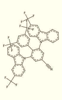 N#Cc1cc(-n2c3ccccc3c3cc(C(F)(F)F)ccc32)c(-c2cc(C(F)(F)F)cc(C(F)(F)F)c2)c(-n2c3ccccc3c3cc(C(F)(F)F)ccc32)c1